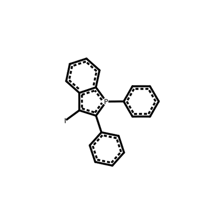 Ic1c(-c2ccccc2)p(-c2ccccc2)c2ccccc12